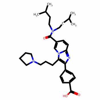 CC(C)CCN(CCC(C)C)C(=O)c1ccc2nc(-c3ccc(C(=O)O)cc3)c(CCCN3CCCC3)n2c1